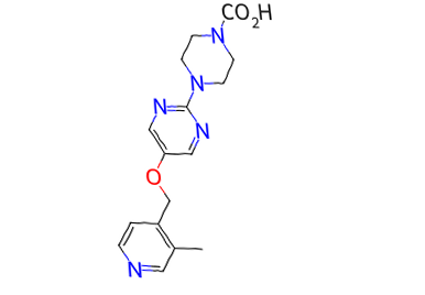 Cc1cnccc1COc1cnc(N2CCN(C(=O)O)CC2)nc1